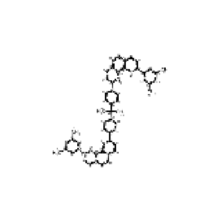 Cc1cc(C)cc(-c2ccc3ccc4ccc(-c5ccc(C(C)(C)c6ccc(-c7ccc8ccc9ccc(-c%10cc(C)cc(C)c%10)nc9c8n7)cc6)cc5)nc4c3n2)c1